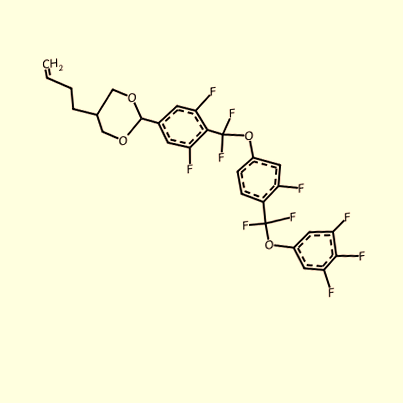 C=CCCC1COC(c2cc(F)c(C(F)(F)Oc3ccc(C(F)(F)Oc4cc(F)c(F)c(F)c4)c(F)c3)c(F)c2)OC1